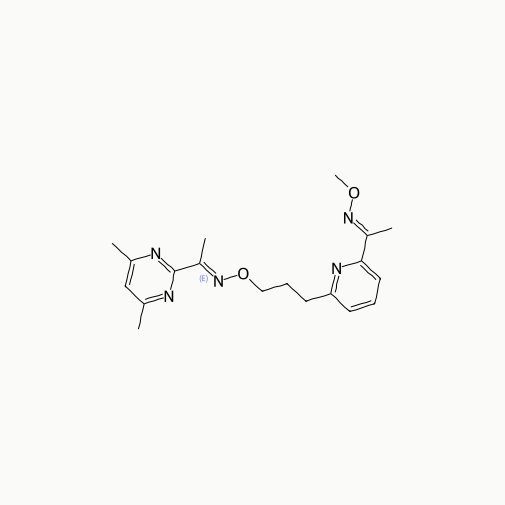 CON=C(C)c1cccc(CCCO/N=C(\C)c2nc(C)cc(C)n2)n1